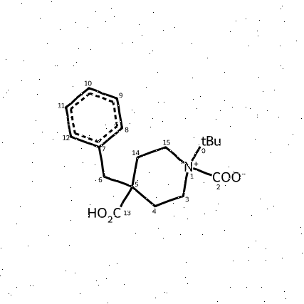 CC(C)(C)[N+]1(C(=O)[O-])CCC(Cc2ccccc2)(C(=O)O)CC1